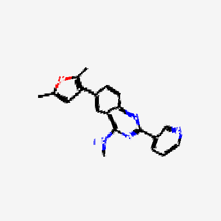 CNc1nc(-c2cccnc2)nc2ccc(-c3cc(C)oc3C)cc12